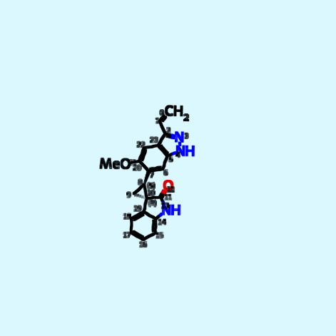 C=Cc1n[nH]c2cc([C@@H]3C[C@@]34C(=O)Nc3ccccc34)c(OC)cc12